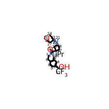 CC(C)[C@]1(C(=O)N2CCc3ccc(C(O)C(F)(F)F)cc3C2)CC[C@@H](N(C)C2CCOCC2)C1